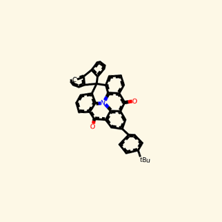 CC(C)(C)c1ccc(-c2cc3c(=O)c4cccc5c4n4c6c(cccc6c(=O)c(c2)c34)C52c3ccccc3-c3ccccc32)cc1